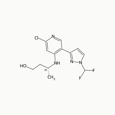 C[C@H](CCO)Nc1cc(Cl)ncc1-c1ccn(C(F)F)n1